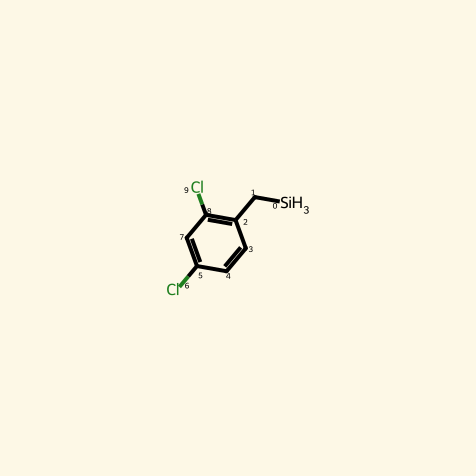 [SiH3]Cc1ccc(Cl)cc1Cl